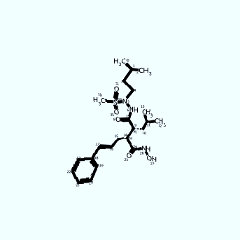 CC(C)CCN(NC(=O)[C@H](CC(C)C)[C@H](CC=Cc1ccccc1)C(=O)NO)S(C)(=O)=O